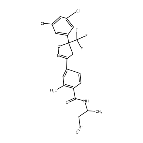 Cc1cc(C2=NOC(c3cc(Cl)cc(Cl)c3)(C(F)(F)F)C2)ccc1C(=O)NC(C)C[S+]=O